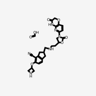 N#Cc1c(OC2CNC2)ccc2c1CC(CNCCC1CN(c3ccc4c(n3)NC(=O)CO4)C(=O)O1)C2.O=CO